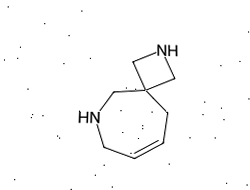 C1=CCC2(CNC1)CNC2